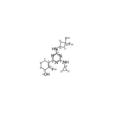 OC1CCCC(c2nc(NC3CC3)nc(NC3CC(F)(F)C3)n2)=C1F